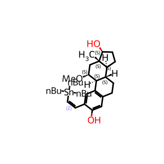 CCC[CH2][Sn](/[CH]=C\c1cc2c(cc1O)CC[C@@H]1[C@@H]2[C@@H](OC)C[C@]2(C)[C@@H](O)CC[C@@H]12)([CH2]CCC)[CH2]CCC